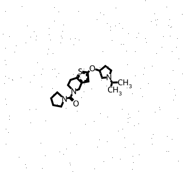 CC(C)N1CCC(Oc2cc3c(s2)CCN(C(=O)N2CCCC2)C3)C1